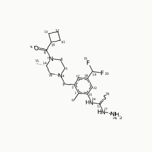 Cc1c(CN2CCN(C(=O)C3CCC3)[C@@H](C)C2)cc(C(F)F)cc1NC(=S)NN